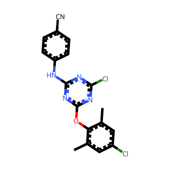 Cc1cc(Cl)cc(C)c1Oc1nc(Cl)nc(Nc2ccc(C#N)cc2)n1